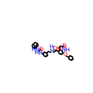 O=C(Nc1cccc(CCNC[C@H](O)c2ccc(OCc3ccccc3)c3[nH]c(=O)ccc23)c1)NC12CC3CC(CC(C3)C1)C2